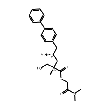 CN(C)C(=O)COC(=O)[C@](C)(CO)C[C@H](N)Cc1ccc(-c2ccccc2)cc1